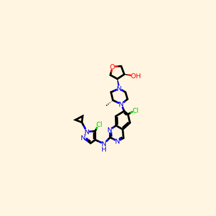 C[C@@H]1CN([C@H]2COC[C@H]2O)CCN1c1cc2nc(Nc3cnn(C4CC4)c3Cl)ncc2cc1Cl